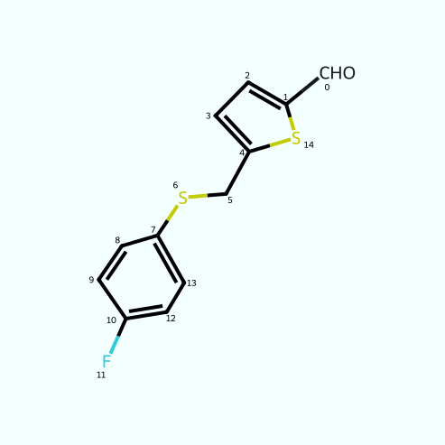 O=Cc1ccc(CSc2ccc(F)cc2)s1